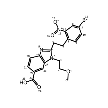 COCCn1c(CCc2ccc(Br)cc2[N+](=O)[O-])nc2ccc(C(=O)O)cc21